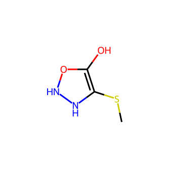 CSC1=C(O)ONN1